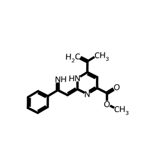 C=C(C)C1=CC(C(=O)OC)=N/C(=C/C(=N)c2ccccc2)N1